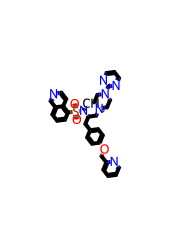 CN(C(Cc1ccc(OCc2ccccn2)cc1)CN1CCN(c2ncccn2)CC1)S(=O)(=O)c1cccc2cnccc12